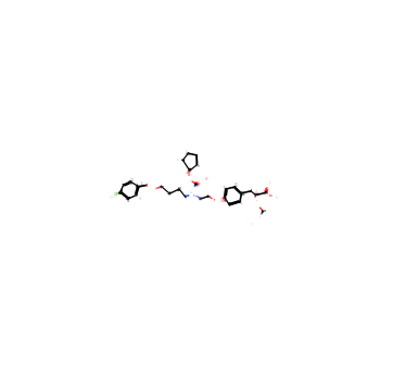 CCOC(Cc1ccc(OCCN(CCCCOCc2ccc(F)cc2)C(=O)OC2CCCC2)cc1)C(=O)O